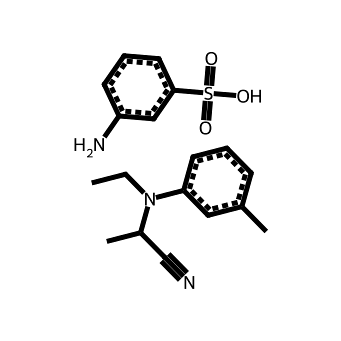 CCN(c1cccc(C)c1)C(C)C#N.Nc1cccc(S(=O)(=O)O)c1